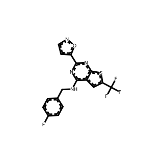 Fc1ccc(CNc2nc(-c3ccno3)nc3sc(C(F)(F)F)cc23)cc1